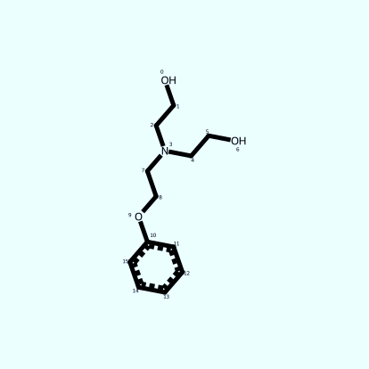 OCCN(CCO)CCOc1ccccc1